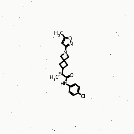 Cc1cc(N2CC3(CC([C@@H](C)C(=O)Nc4ccc(Cl)cc4)C3)C2)no1